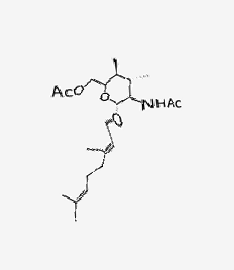 CC(=O)NC1[C@H](OC/C=C(\C)CCC=C(C)C)OC(COC(C)=O)[C@@H](C)[C@@H]1C